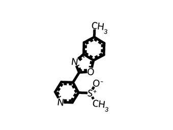 Cc1ccc2oc(-c3ccncc3[S+](C)[O-])nc2c1